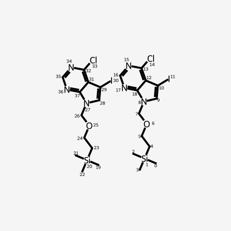 C[Si](C)(C)CCOCn1cc(I)c2c(Cl)ncnc21.C[Si](C)(C)CCOCn1cc(I)c2c(Cl)ncnc21